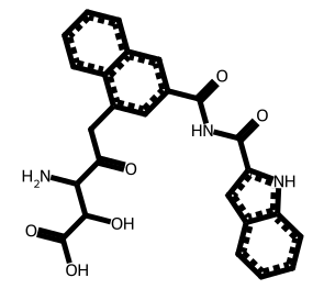 NC(C(=O)Cc1cc(C(=O)NC(=O)c2cc3ccccc3[nH]2)cc2ccccc12)C(O)C(=O)O